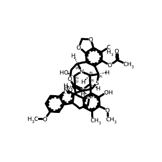 COc1ccc2[nH]c3c(c2c1)CCN[C@]31CS[C@@H]2c3c(OC(C)=O)c(C)c4c(c3[C@H](COC1=O)N1[C@@H]2[C@@H]2N[C@@H](Cc3cc(C)c(OC)c(O)c32)[C@@H]1O)OCO4